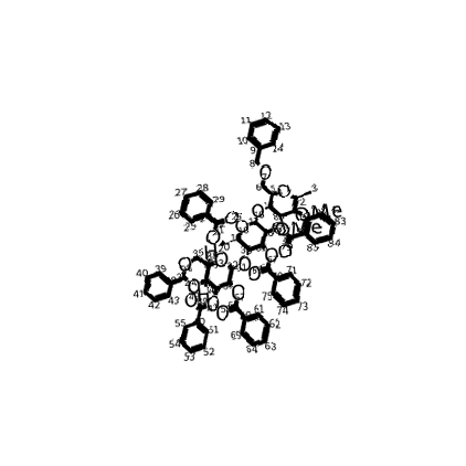 COC1[C@H](C)OC(COCc2ccccc2)[C@@H](O[C@@H]2O[C@@H](COC(=O)c3ccccc3)[C@@H](O[C@H]3O[C@H]4COC(c5ccccc5)O[C@H]4C(OC(=O)c4ccccc4)C3OC(=O)c3ccccc3)C(OC(=O)c3ccccc3)C2OC(=O)c2ccccc2)[C@@H]1OC